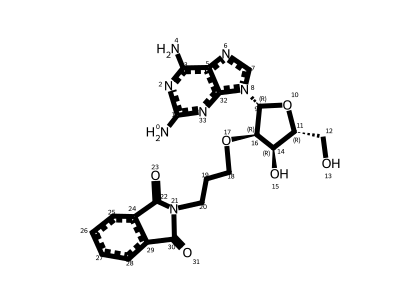 Nc1nc(N)c2ncn([C@@H]3O[C@H](CO)[C@@H](O)[C@H]3OCCCN3C(=O)c4ccccc4C3=O)c2n1